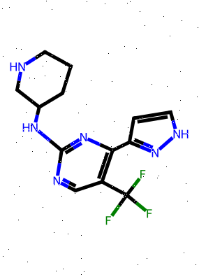 FC(F)(F)c1cnc(NC2CCCNC2)nc1-c1cc[nH]n1